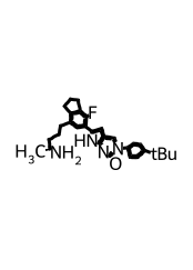 C[C@H](N)CCCc1cc(-c2cc3cn(-c4ccc(C(C)(C)C)cc4)c(=O)nc3[nH]2)c(F)c2c1CCC2